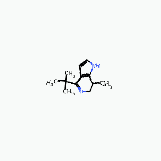 CC1CN=C(C(C)(C)C)c2cc[nH]c21